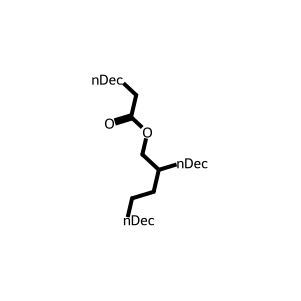 CCCCCCCCCCCCC(CCCCCCCCCC)COC(=O)CCCCCCCCCCC